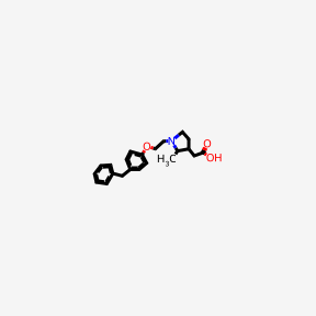 CC1C(CC(=O)O)CCN1CCOc1ccc(Cc2ccccc2)cc1